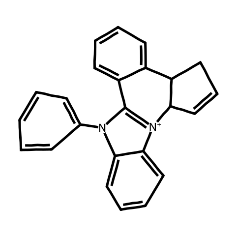 C1=CC2C(C1)c1ccccc1-c1n(-c3ccccc3)c3ccccc3[n+]12